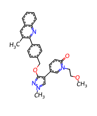 COCCn1cc(-c2cn(C)nc2OCc2ccc(-c3nc4ccccc4cc3C)cc2)ccc1=O